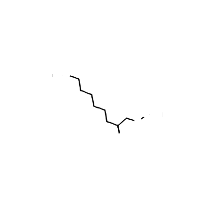 CCCCCCCCCCCCCCC(C)COS(=O)(=O)O